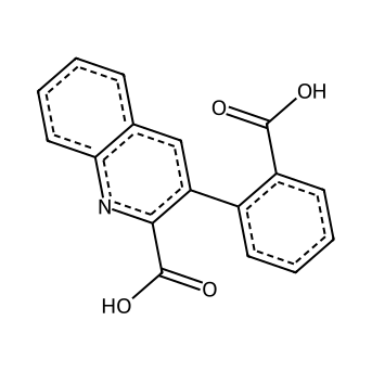 O=C(O)c1ccccc1-c1cc2ccccc2nc1C(=O)O